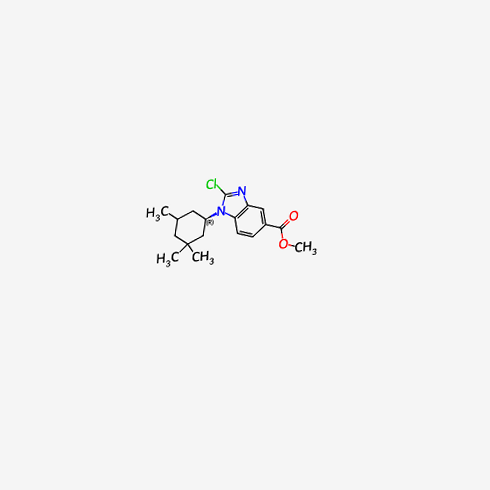 COC(=O)c1ccc2c(c1)nc(Cl)n2[C@@H]1CC(C)CC(C)(C)C1